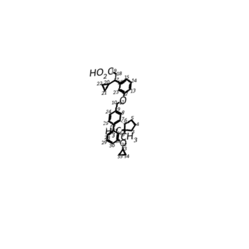 CC1(C)CCC[C@H]1c1cc(COc2cccc([C@H](CC(=O)O)C3CC3)c2)ccc1-c1cccc(OC2CC2)c1